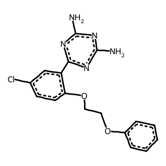 Nc1nc(N)nc(-c2cc(Cl)ccc2OCCOc2ccccc2)n1